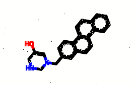 OC1=CN(Cc2ccc3c(ccc4c5ccccc5ccc34)c2)CNC1